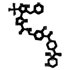 O=C(NCc1ccc(C(=O)N2CCN(C(=O)[C@@]3(O)CCCNC3)CC2)c(Cl)c1)c1ncc(-c2c(C(F)(F)F)n[nH]c2Cc2cccnc2)[nH]1